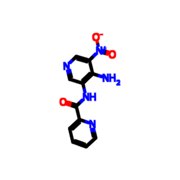 Nc1c(NC(=O)c2ccccn2)cncc1[N+](=O)[O-]